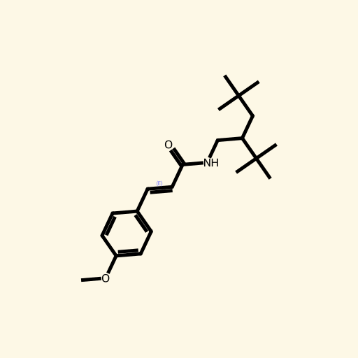 COc1ccc(/C=C/C(=O)NCC(CC(C)(C)C)C(C)(C)C)cc1